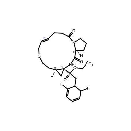 CCOP(=O)(CC1C(F)=CC=CC1F)[C@@]12C[C@H]1CCOC/C=C/CCC(=O)N1CCC[C@H]1C(=O)N2